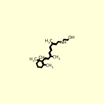 CC(C=CC1=C(C)CCCC1(C)C)=CC=CC(C)=CCNCCO